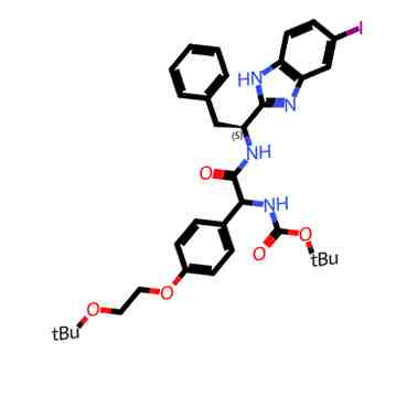 CC(C)(C)OCCOc1ccc(C(NC(=O)OC(C)(C)C)C(=O)N[C@@H](Cc2ccccc2)c2nc3cc(I)ccc3[nH]2)cc1